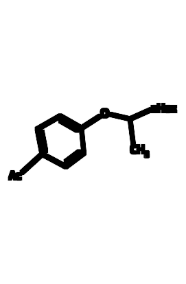 CCCCCCC(C)Oc1ccc(C(C)=O)cc1